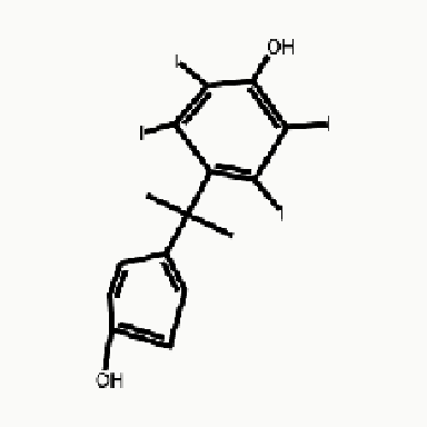 CC(C)(c1ccc(O)cc1)c1c(I)c(I)c(O)c(I)c1I